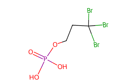 O=P(O)(O)OCCC(Br)(Br)Br